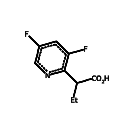 CCC(C(=O)O)c1ncc(F)cc1F